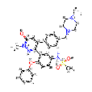 CN1CCN(Cc2ccc(-c3cc(=O)n(C)nc3-c3cc(NS(C)(=O)=O)ccc3Oc3ccccc3)cc2)CC1